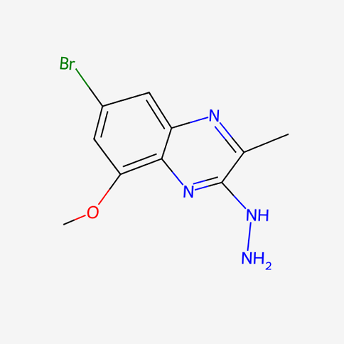 COc1cc(Br)cc2nc(C)c(NN)nc12